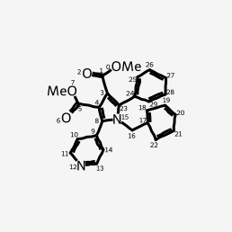 COC(=O)c1c(C(=O)OC)c(-c2ccncc2)n(Cc2ccccc2)c1-c1ccccc1